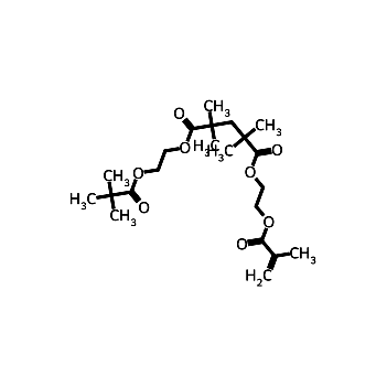 C=C(C)C(=O)OCCOC(=O)C(C)(C)CC(C)(C)C(=O)OCCOC(=O)C(C)(C)C